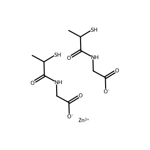 CC(S)C(=O)NCC(=O)[O-].CC(S)C(=O)NCC(=O)[O-].[Zn+2]